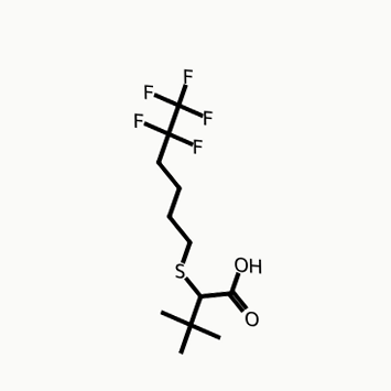 CC(C)(C)C(SCCCCC(F)(F)C(F)(F)F)C(=O)O